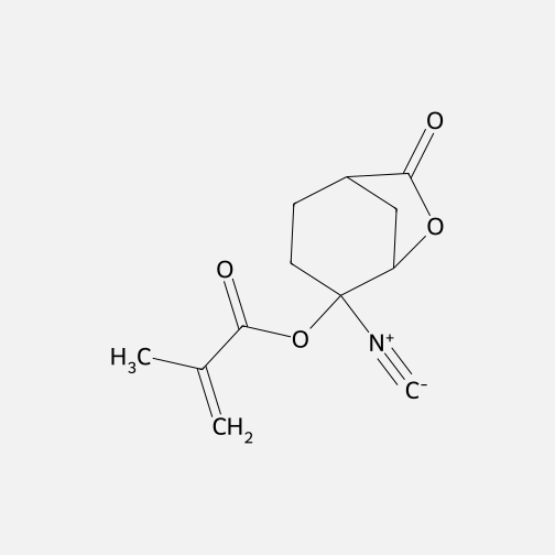 [C-]#[N+]C1(OC(=O)C(=C)C)CCC2CC1OC2=O